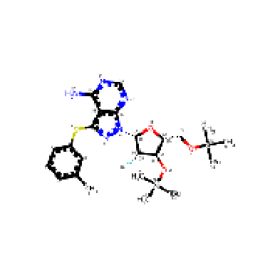 Cc1cccc(Sc2nn([C@@H]3O[C@H](CO[Si](C)(C)C(C)(C)C)[C@@H](O[Si](C)(C)C(C)(C)C)[C@@H]3F)c3ncnc(N)c23)c1